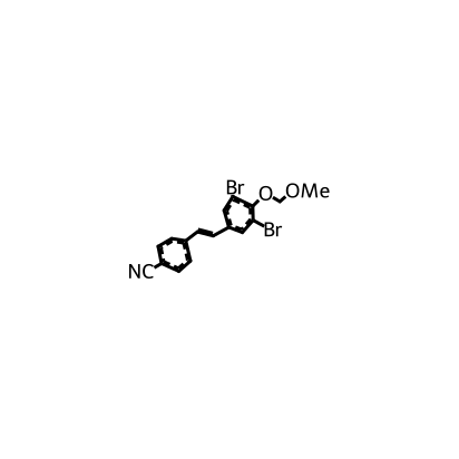 COCOc1c(Br)cc(C=Cc2ccc(C#N)cc2)cc1Br